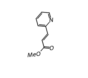 COC(=O)C=Cc1ccccn1